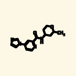 CC1CC(NC(=O)c2cc(-n3ccnc3)ccn2)CCO1